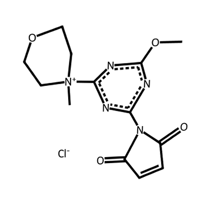 COc1nc(N2C(=O)C=CC2=O)nc([N+]2(C)CCOCC2)n1.[Cl-]